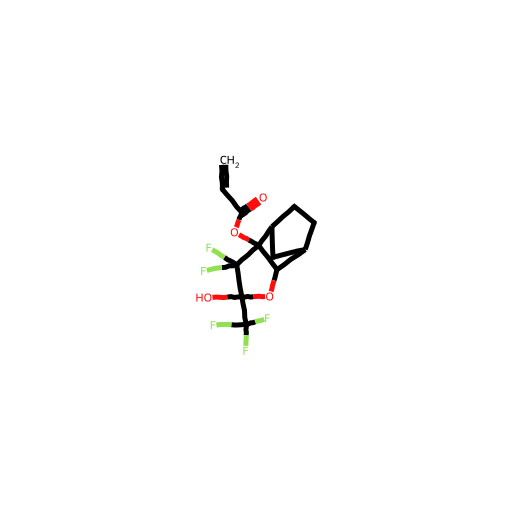 C=CC(=O)OC12C3CCC(C3)C1OC(O)(C(F)(F)F)C2(F)F